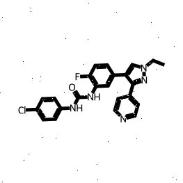 CCn1cc(-c2ccc(F)c(NC(=O)Nc3ccc(Cl)cc3)c2)c(-c2ccncc2)n1